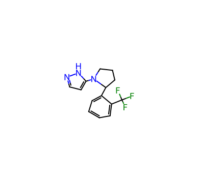 FC(F)(F)c1ccccc1C1CCCN1c1ccn[nH]1